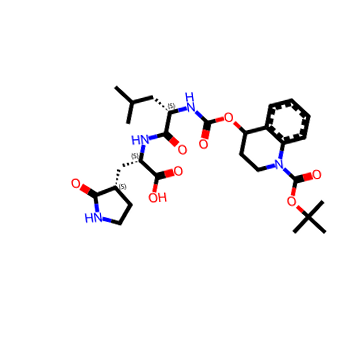 CC(C)C[C@H](NC(=O)OC1CCN(C(=O)OC(C)(C)C)c2ccccc21)C(=O)N[C@@H](C[C@@H]1CCNC1=O)C(=O)O